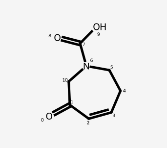 O=C1C=CCCN(C(=O)O)C1